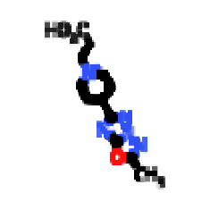 Cc1nn2nc(-c3cc[n+](CCC(=O)O)cc3)nc2o1